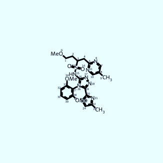 COCCC(Cc1ncc(C)cn1)S(=O)(=O)Nc1nnc(-c2nc(C)cs2)n1-c1c(OC)cccc1OC